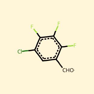 O=[C]c1cc(Cl)c(F)c(F)c1F